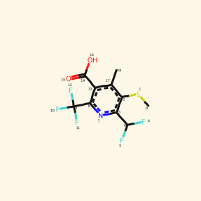 CSc1c(C(F)F)nc(C(F)(F)F)c(C(=O)O)c1C